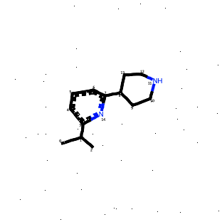 CC(C)c1cccc(C2CCNCC2)n1